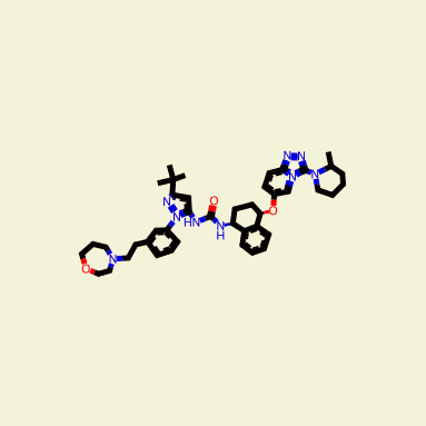 CC1CCCCN1c1nnc2ccc(O[C@@H]3CC[C@H](NC(=O)Nc4cc(C(C)(C)C)nn4-c4cccc(CCN5CCCOCC5)c4)c4ccccc43)cn12